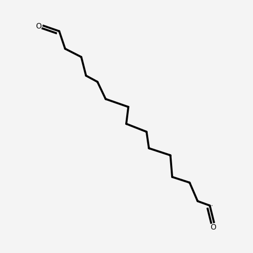 O=[C]CCCCCCCCCCCCCC=O